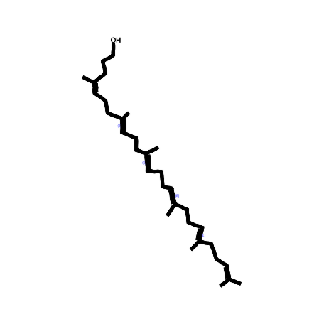 CC(C)=CCC/C(C)=C/CC/C(C)=C/CC/C=C(\C)CC/C=C(\C)CCC=C(C)CCCO